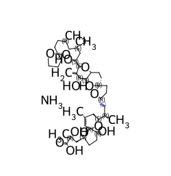 C=C1[C@@H](O)[C@@H]2O[C@@]3(CCC2O[C@@H]1[C@@H](O)C[C@H](C)C1O[C@@]2(CCCCO2)CC[C@H]1C)CC[C@H](/C=C/[C@@H](C)[C@@H]1CC(C)=C[C@@]2(O[C@H](C[C@@](C)(O)C(=O)O)CC[C@H]2O)O1)O3.N